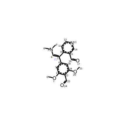 COc1cc(/C(=C/N(C)C)c2ccncc2C=O)cc(OC)c1C=O